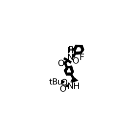 CC(C)(C)OC(=O)NC1CC1c1ccc(C(=O)C(C)(C)NC(=O)c2c(F)cccc2F)cc1